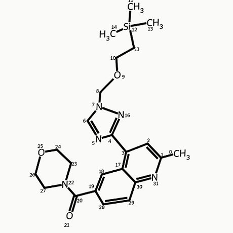 Cc1cc(-c2ncn(COCC[Si](C)(C)C)n2)c2cc(C(=O)N3CCOCC3)ccc2n1